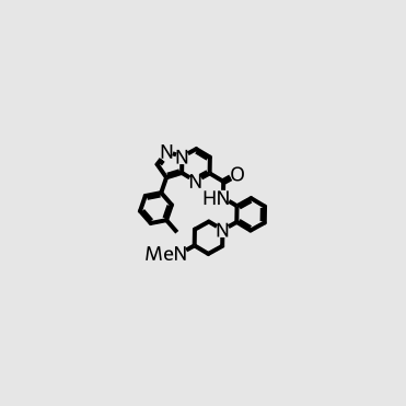 CNC1CCN(c2ccccc2NC(=O)c2ccn3ncc(-c4cccc(C)c4)c3n2)CC1